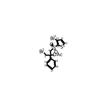 CC(=O)OC(CBr)(CS(=O)(=O)c1sccc1Br)c1ccccc1